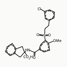 COc1ccc(C(=O)NC2(C(=O)O)Cc3ccccc3C2)cc1S(=O)(=O)CCc1cccc(Cl)c1